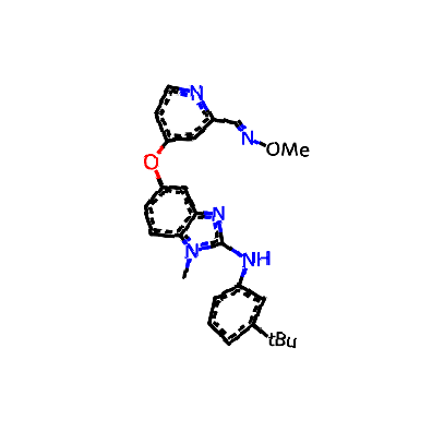 CON=Cc1cc(Oc2ccc3c(c2)nc(Nc2cccc(C(C)(C)C)c2)n3C)ccn1